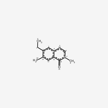 CCc1cc2ncn(C)c(=O)c2cc1P